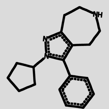 c1ccc(-c2c3c(nn2C2CCCC2)CCNCC3)cc1